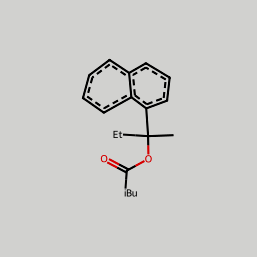 CCC(C)C(=O)OC(C)(CC)c1cccc2ccccc12